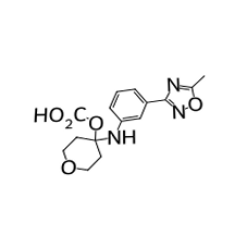 Cc1nc(-c2cccc(NC3(OC(=O)O)CCOCC3)c2)no1